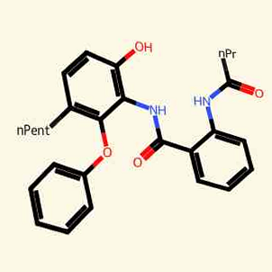 CCCCCc1ccc(O)c(NC(=O)c2ccccc2NC(=O)CCC)c1Oc1ccccc1